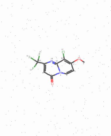 COc1ccn2c(=O)cc(C(F)(F)F)nc2c1Cl